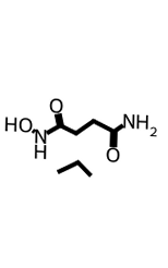 CCC.NC(=O)CCC(=O)NO